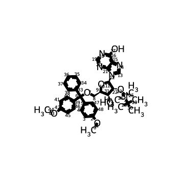 COc1ccc(C(OC[C@H]2O[C@@H](n3cnc4c(O)ncnc43)[C@H](O[Si](C)(C)C(C)(C)C)[C@@H]2O)(c2ccccc2)c2ccc(OC)cc2)cc1